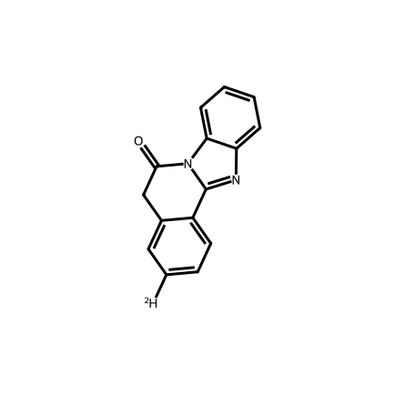 [2H]c1ccc2c(c1)CC(=O)n1c-2nc2ccccc21